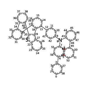 c1ccc(-c2ccc(N(c3ccc(-c4cccc5c4-c4c(sc6ccccc46)C54c5ccccc5-c5ccccc54)cc3)c3ccccc3-c3ccccc3)cc2)cc1